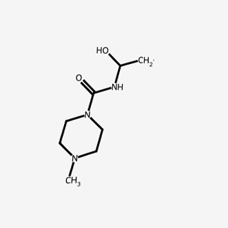 [CH2]C(O)NC(=O)N1CCN(C)CC1